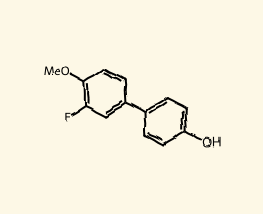 COc1ccc(-c2ccc(O)cc2)cc1F